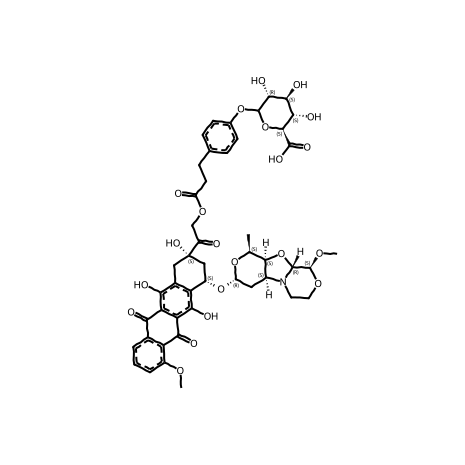 COc1cccc2c1C(=O)c1c(O)c3c(c(O)c1C2=O)C[C@@](O)(C(=O)COC(=O)CCc1ccc(OC2O[C@H](C(=O)O)[C@@H](O)[C@H](O)[C@H]2O)cc1)C[C@@H]3O[C@H]1C[C@H]2[C@H](O[C@@H]3[C@@H](OC)OCCN32)[C@H](C)O1